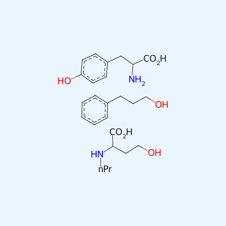 CCCNC(CCO)C(=O)O.NC(Cc1ccc(O)cc1)C(=O)O.OCCCc1ccccc1